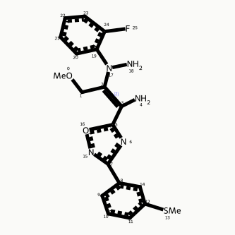 COC/C(=C(/N)c1nc(-c2cccc(SC)c2)no1)N(N)c1ccccc1F